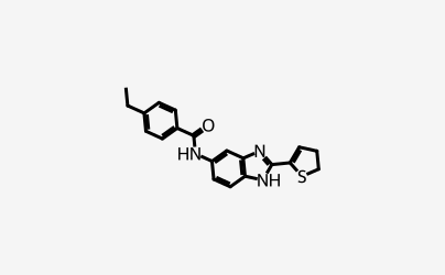 CCc1ccc(C(=O)Nc2ccc3[nH]c(C4=CCCS4)nc3c2)cc1